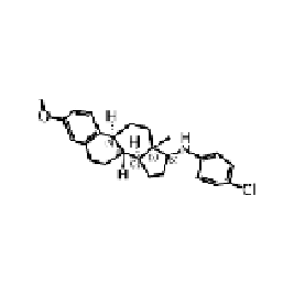 COc1ccc2c(c1)CC[C@@H]1[C@@H]2CC[C@]2(C)[C@@H](Nc3ccc(Cl)cc3)CC[C@@H]12